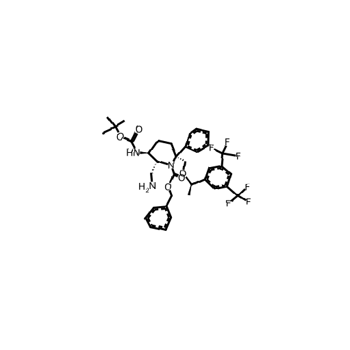 C[C@@H](OC[C@@]1(c2ccccc2)CC[C@H](NC(=O)OC(C)(C)C)[C@@H](CN)N1C(=O)OCc1ccccc1)c1cc(C(F)(F)F)cc(C(F)(F)F)c1